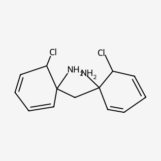 NC1(CC2(N)C=CC=CC2Cl)C=CC=CC1Cl